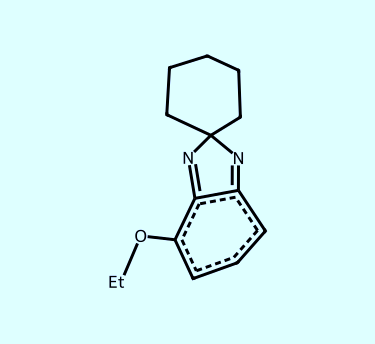 CCOc1cccc2c1=NC1(CCCCC1)N=2